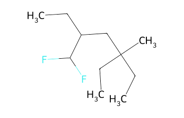 CCC(CC(C)(CC)CC)C(F)F